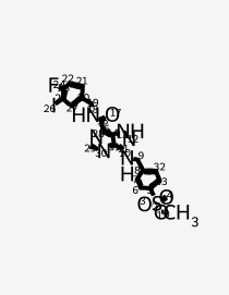 COS(=O)(=O)c1ccc(CNc2n[nH]c3c(C(=O)NCc4ccc(F)c(I)c4)ncnc23)cc1